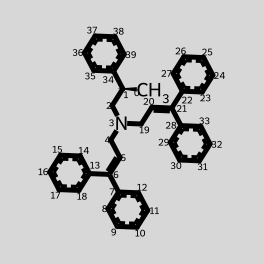 C[C@@H](CN(CC=C(c1ccccc1)c1ccccc1)CC=C(c1ccccc1)c1ccccc1)c1ccccc1